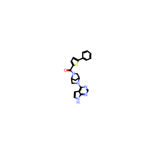 O=C(c1ccc(-c2ccccc2)s1)N1CC2CC1CN2c1ncnc2[nH]ccc12